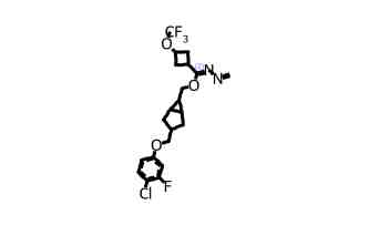 C=N/N=C(\OCC1C2CC(COc3ccc(Cl)c(F)c3)CC12)C1CC(OC(F)(F)F)C1